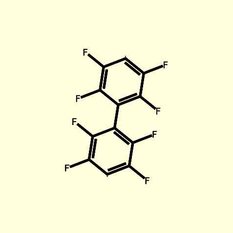 Fc1[c]c(F)c(F)c(-c2c(F)c(F)[c]c(F)c2F)c1F